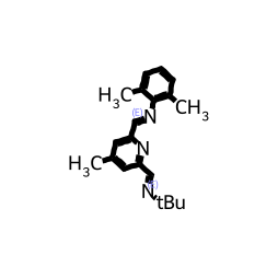 Cc1cc(/C=N/c2c(C)cccc2C)nc(/C=N/C(C)(C)C)c1